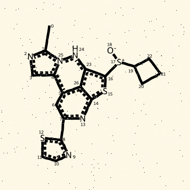 Cc1ncc2c3cc(-c4nccs4)nc4sc([S+]([O-])C5CCC5)c([nH]n12)c43